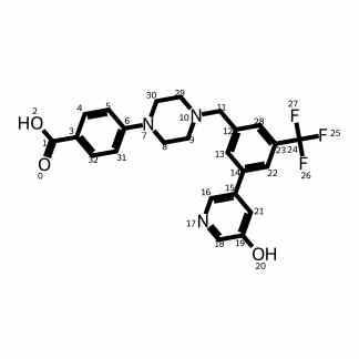 O=C(O)c1ccc(N2CCN(Cc3cc(-c4cncc(O)c4)cc(C(F)(F)F)c3)CC2)cc1